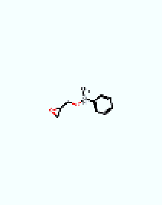 C[SiH](OCC1CO1)c1ccccc1